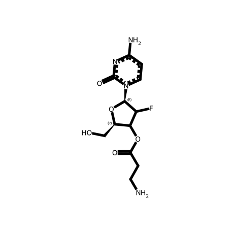 NCCC(=O)OC1C(F)[C@H](n2ccc(N)nc2=O)O[C@@H]1CO